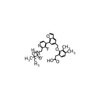 Cc1ccc(CC(=O)O)c(OCc2cc(-c3ccnc(CN[S@@+]([O-])C(C)(C)C)c3F)c3occc3c2)c1C